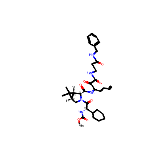 C=CCCC(NC(=O)[C@@H]1[C@@H]2[C@H](CN1C(=O)[C@@H](NC(=O)OC(C)(C)C)C1CCCCC1)C2(C)C)C(=O)C(=O)NCCC(=O)NCc1ccccc1